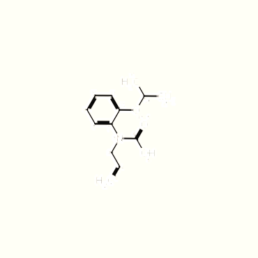 C=CCN(C(=O)O)c1ccccc1OC(C)C